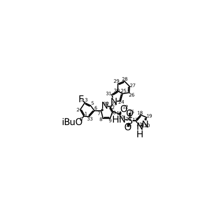 CC(C)COc1cc(F)cc(-c2ccc(C(=O)NS(=O)(=O)c3ccn[nH]3)c(-n3cc4ccccc4c3)n2)c1